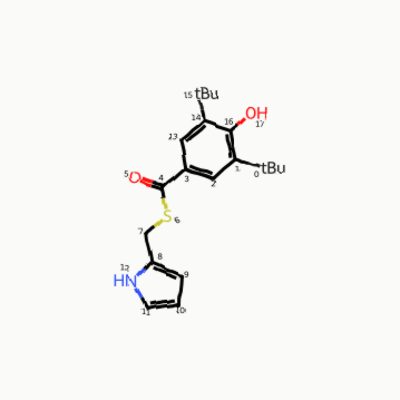 CC(C)(C)c1cc(C(=O)SCc2ccc[nH]2)cc(C(C)(C)C)c1O